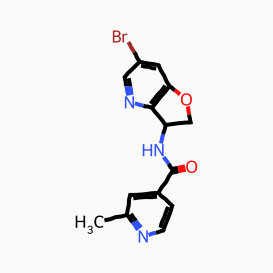 Cc1cc(C(=O)NC2COc3cc(Br)cnc32)ccn1